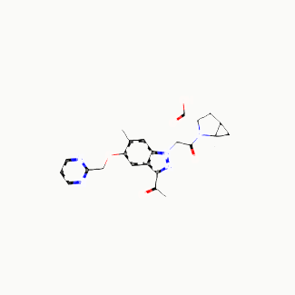 CC(=O)c1nn(CC(=O)N2[C@@H]3C[C@@H]3C[C@H]2C(=O)O)c2cc(C)c(OCc3ncccn3)cc12